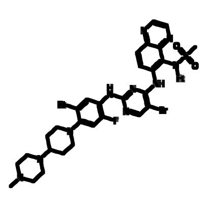 CCc1cc(Nc2ncc(Br)c(Nc3ccc4nccnc4c3N(CC)S(C)(=O)=O)n2)c(F)cc1N1CCC(N2CCN(C)CC2)CC1